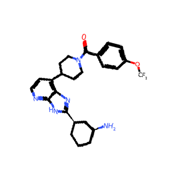 N[C@H]1CCC[C@@H](c2nc3c(C4CCN(C(=O)c5ccc(OC(F)(F)F)cc5)CC4)ccnc3[nH]2)C1